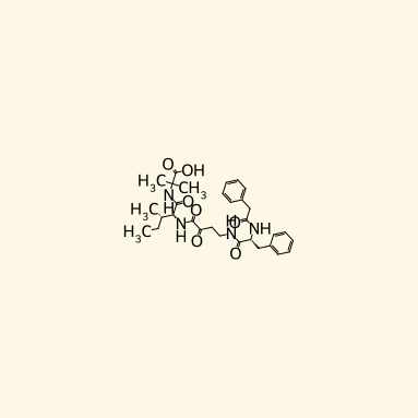 CC[C@H](C)[C@H](NC(=O)C(=O)CCNC(=O)[C@H](Cc1ccccc1)NC(=O)Cc1ccccc1)C(=O)NC(C)(C)C(=O)O